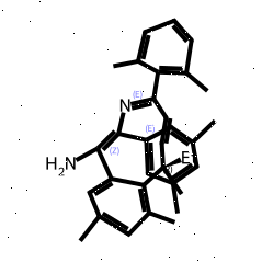 CC[C@]1(C)/C=C/C(c2c(C)cccc2C)=N\C(c2cc(C)cc(C)c2)=C(/N)c2cc(C)cc(C)c21